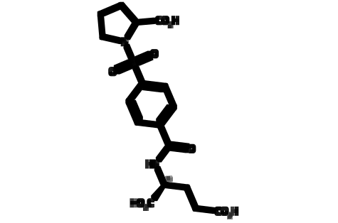 O=C(O)CC[C@H](NC(=O)c1ccc(S(=O)(=O)N2CCCC2C(=O)O)cc1)C(=O)O